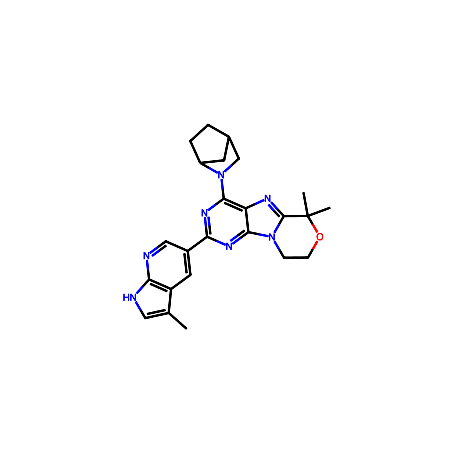 Cc1c[nH]c2ncc(-c3nc(N4CC5CCC4C5)c4nc5n(c4n3)CCOC5(C)C)cc12